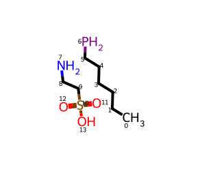 CCCCCCP.NCCS(=O)(=O)O